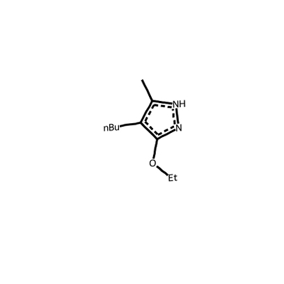 CCCCc1c(OCC)n[nH]c1C